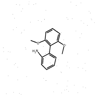 COc1cccc(OC)c1-c1ccccc1N